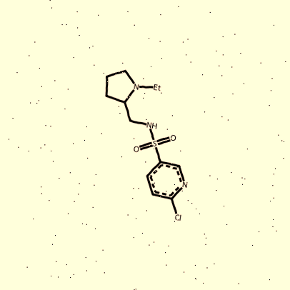 CCN1CCCC1CNS(=O)(=O)c1ccc(Cl)nc1